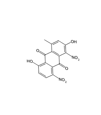 Cc1cc(O)c([N+](=O)[O-])c2c1C(=O)c1c(O)ccc([N+](=O)[O-])c1C2=O